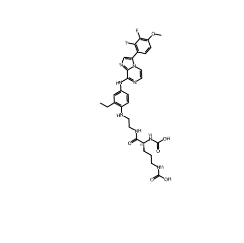 CCc1cc(Nc2nccn3c(-c4ccc(OC)c(F)c4F)cnc23)ccc1NCCNC(=O)[C@H](CCCNC(=O)O)NC(=O)O